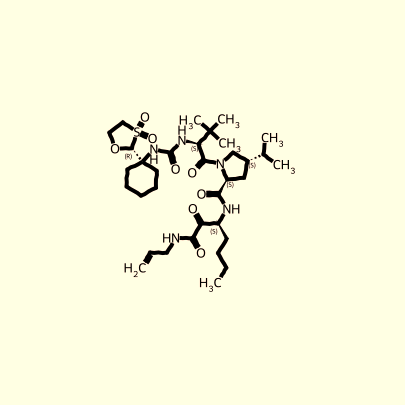 C=CCNC(=O)C(=O)[C@H](CCCC)NC(=O)[C@@H]1C[C@@H](C(C)C)CN1C(=O)[C@@H](NC(=O)NC1([C@@H]2OCCS2(=O)=O)CCCCC1)C(C)(C)C